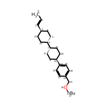 CC=C[C@H]1CC[C@H]([C@H]2CC[C@H](c3ccc(COCCCC)cc3)CC2)CC1